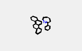 C1=CCN=C(c2ccccc2)C=C1.C1=Cc2ccc3c(c2CC1)CCc1ccccc1-3